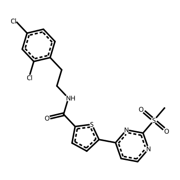 CS(=O)(=O)c1nccc(-c2ccc(C(=O)NCCc3ccc(Cl)cc3Cl)s2)n1